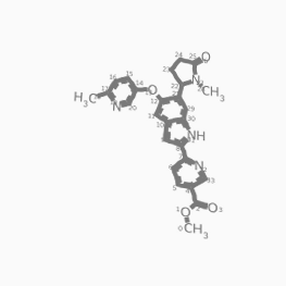 COC(=O)c1ccc(-c2cc3cc(Oc4ccc(C)nc4)c(C4CCC(=O)N4C)cc3[nH]2)nc1